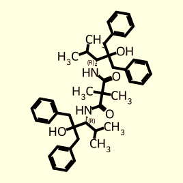 CC(C)[C@@H](NC(=O)C(C)(C)C(=O)N[C@H](C(C)C)C(O)(Cc1ccccc1)Cc1ccccc1)C(O)(Cc1ccccc1)Cc1ccccc1